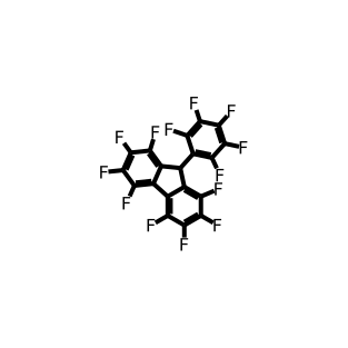 Fc1c(F)c(F)c(C2c3c(F)c(F)c(F)c(F)c3-c3c(F)c(F)c(F)c(F)c32)c(F)c1F